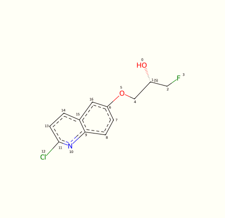 O[C@H](CF)COc1ccc2nc(Cl)ccc2c1